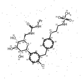 CC(C)NC(=O)NC[C@H]1O[C@@H](c2ccc(Cl)c(Cc3ccc(OCCNS(C)(=O)=O)cc3)c2)[C@H](O)[C@@H](O)[C@@H]1O